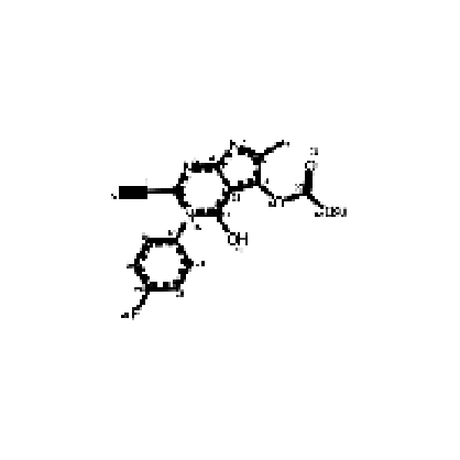 C#Cc1nc2nc(C)c(OC(=O)C(C)(C)C)c-2c(O)n1-c1ccc(F)cc1